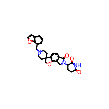 O=C1CCC(N2Cc3c(ccc4c3OCC43CCN(Cc4cccc5ccoc45)CC3)C2=O)C(=O)N1